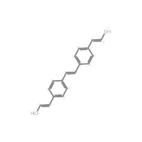 OC=Cc1ccc(C=Cc2ccc(C=CO)cc2)cc1